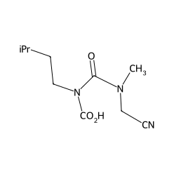 CC(C)CCN(C(=O)O)C(=O)N(C)CC#N